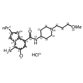 CCCc1cn2c(N)c(Cl)cc(C(=O)NC3CCN(CCCOC)CC3)c2n1.Cl